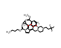 CCCCOC(=O)n1ccc2c(CN3CCN(CCC(F)(F)F)C[C@@H]3c3ccc(C(=O)OC)c(NC4CC4)c3)c(OC)cc(C)c21